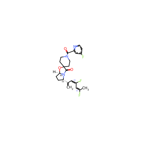 C=C(/C=C(F)\C=C(/C)F)[C@@H]1CC[C@H]2OC3(CCN(C(=O)c4cc(F)ccn4)CC3)C(=O)N21